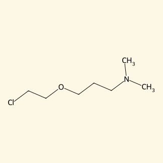 CN(C)CCCOCCCl